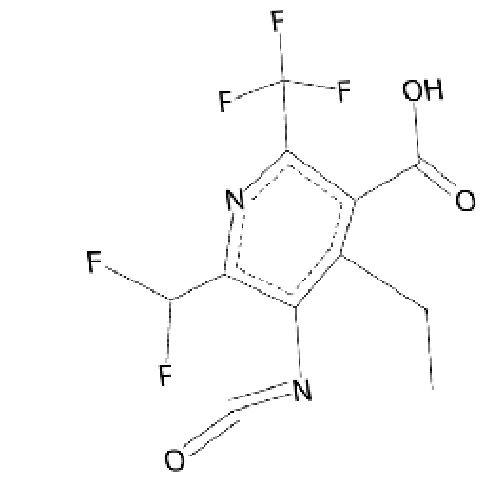 CCc1c(N=C=O)c(C(F)F)nc(C(F)(F)F)c1C(=O)O